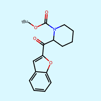 CC(C)(C)OC(=O)N1CCCCC1C(=O)c1cc2ccccc2o1